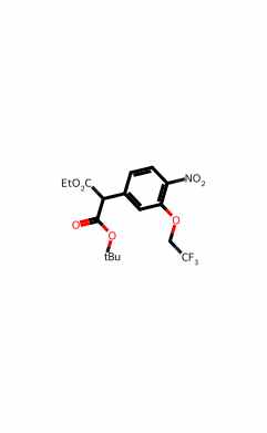 CCOC(=O)C(C(=O)OC(C)(C)C)c1ccc([N+](=O)[O-])c(OCC(F)(F)F)c1